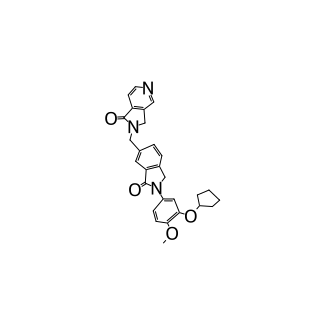 COc1ccc(N2Cc3ccc(CN4Cc5cnccc5C4=O)cc3C2=O)cc1OC1CCCC1